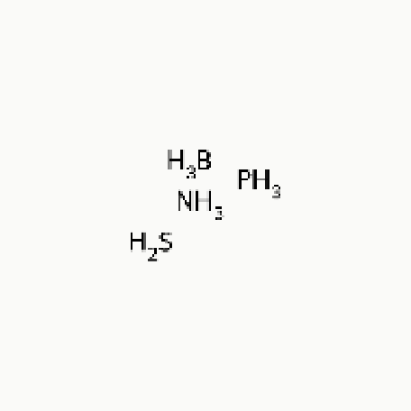 B.N.P.S